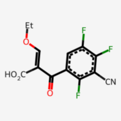 CCOC=C(C(=O)O)C(=O)c1cc(F)c(F)c(C#N)c1F